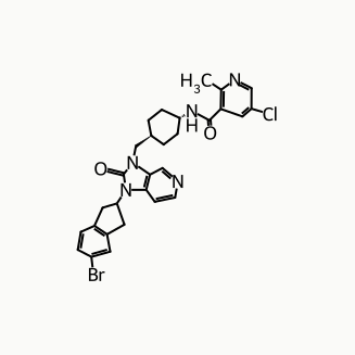 Cc1ncc(Cl)cc1C(=O)N[C@H]1CC[C@H](Cn2c(=O)n(C3Cc4ccc(Br)cc4C3)c3ccncc32)CC1